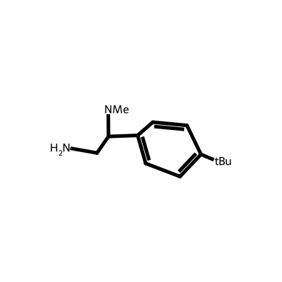 CNC(CN)c1ccc(C(C)(C)C)cc1